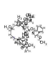 CCOc1cnc(O[C@@H]2C[C@H]3C(=O)N[C@]4(C(=O)NS(=O)(=O)C5(C)CC5)C[C@@H]4/C=C\CC[C@@H](C)C[C@@H](CC)[C@H](NC(=O)OC(C)(C)C(F)(F)F)C(=O)N3C2)c2ccccc12